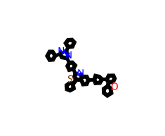 c1ccc(-c2cc(-c3ccc(-c4nc5cc(-c6ccc(-c7cccc8oc9ccccc9c78)cc6)ccc5c5c4sc4ccccc45)cc3)nc(-c3ccccc3)n2)cc1